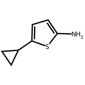 Nc1ccc(C2CC2)s1